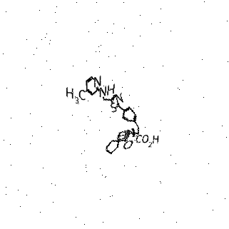 Cc1ccnc(NCc2cnc(-c3ccc(CC(NC(=O)C4(C)CCCCC4)C(=O)O)cc3)s2)c1